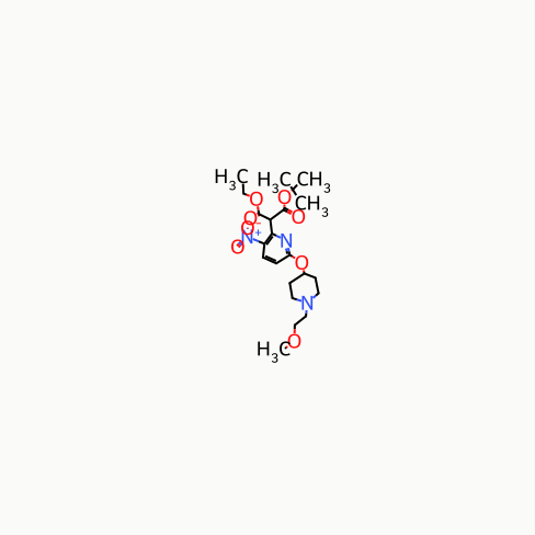 CCOC(=O)C(C(=O)OC(C)(C)C)c1nc(OC2CCN(CCOC)CC2)ccc1[N+](=O)[O-]